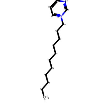 CCCCCCCCCCC[n+]1cccnc1